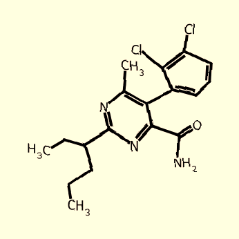 CCCC(CC)c1nc(C)c(-c2cccc(Cl)c2Cl)c(C(N)=O)n1